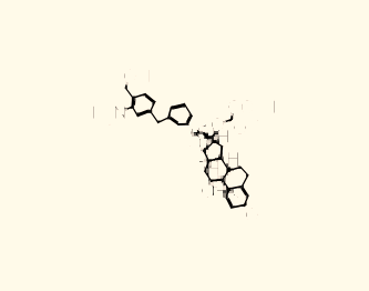 C[C@]12C=CC(=O)C=C1CC[C@@H]1[C@@H]2[C@@H](O)C[C@@]2(C)[C@H]1C[C@H]1O[C@@H](c3cccc(Cc4ccc(CO)c(N)c4)c3)O[C@]12C(=O)COC(=O)C(=O)O